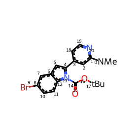 CNc1cc(-c2cc3cc(Br)ccc3n2C(=O)OC(C)(C)C)ccn1